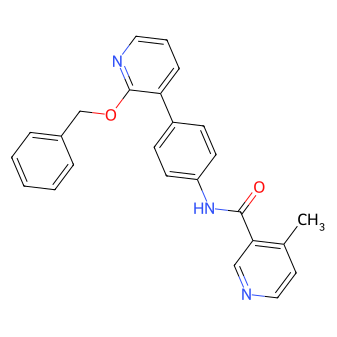 Cc1ccncc1C(=O)Nc1ccc(-c2cccnc2OCc2ccccc2)cc1